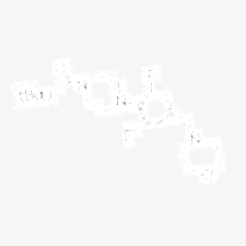 CC(C)(C)OC(=O)N1CCN(c2c(F)cc(CN3CCOCC3)cc2F)CC1